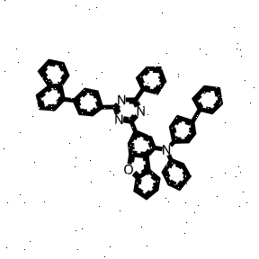 c1ccc(-c2ccc(N(c3ccccc3)c3cc(-c4nc(-c5ccccc5)nc(-c5ccc(-c6cccc7ccccc67)cc5)n4)cc4oc5ccccc5c34)cc2)cc1